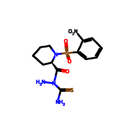 NC(=S)N(N)C(=O)[C@H]1CCCCN1S(=O)(=O)c1ccccc1[N+](=O)[O-]